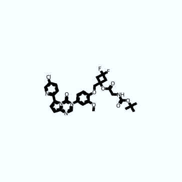 COc1cc(-n2cnc3ccc(-c4ccc(Cl)cn4)n3c2=O)ccc1OCC1(OC(=O)CNC(=O)OC(C)(C)C)CC(F)(F)C1